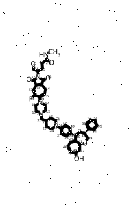 CNC(=O)CCC(C=O)N1C(=O)C2=C(CC=C(N3CCN(CC4CCN(c5ccc([C@H]6C[C@@H](c7ccccc7)COC7=CC(O)C=CC=C76)cc5)CC4)CC3)C(F)=C2)C1=O